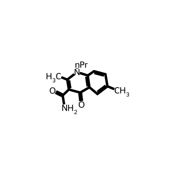 CCCn1c(C)c(C(N)=O)c(=O)c2cc(C)ccc21